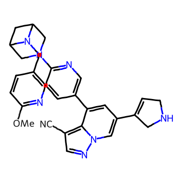 COc1ccc(CN2C3CC2CN(c2ccc(-c4cc(C5=CCNC5)cn5ncc(C#N)c45)cn2)C3)cn1